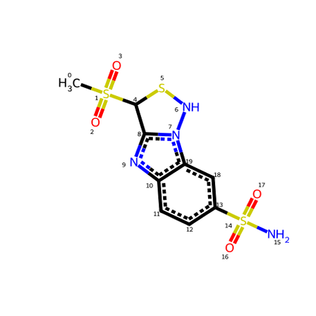 CS(=O)(=O)C1SNn2c1nc1ccc(S(N)(=O)=O)cc12